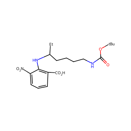 CCC(CCCCNC(=O)OC(C)(C)C)Nc1c(C(=O)O)cccc1[N+](=O)[O-]